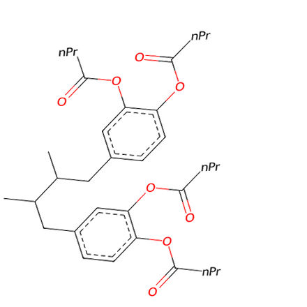 CCCC(=O)Oc1ccc(CC(C)C(C)Cc2ccc(OC(=O)CCC)c(OC(=O)CCC)c2)cc1OC(=O)CCC